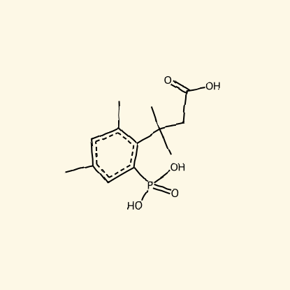 Cc1cc(C)c(C(C)(C)CC(=O)O)c(P(=O)(O)O)c1